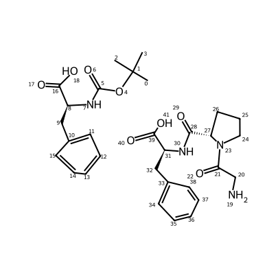 CC(C)(C)OC(=O)N[C@@H](Cc1ccccc1)C(=O)O.NCC(=O)N1CCC[C@H]1C(=O)N[C@@H](Cc1ccccc1)C(=O)O